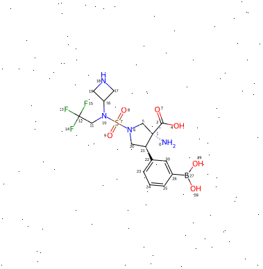 N[C@@]1(C(=O)O)CN(S(=O)(=O)N(CC(F)(F)F)C2CNC2)C[C@@H]1c1cccc(B(O)O)c1